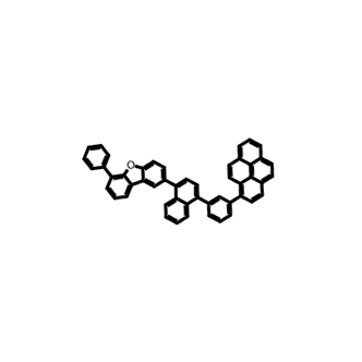 c1ccc(-c2cccc3c2oc2ccc(-c4ccc(-c5cccc(-c6ccc7ccc8cccc9ccc6c7c89)c5)c5ccccc45)cc23)cc1